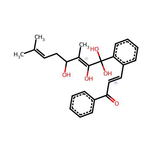 CC(C)=CCC(O)/C(C)=C(\O)C(O)(O)c1ccccc1/C=C/C(=O)c1ccccc1